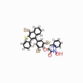 O=C(NO)[C@@H](Cc1ccccc1)Oc1c(Br)cc(-c2c3ccccc3c(Br)c3sc4ccccc4c23)cc1Br